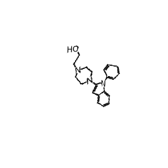 OCCN1CCN(c2cc3ccccc3n2-c2ccccc2)CC1